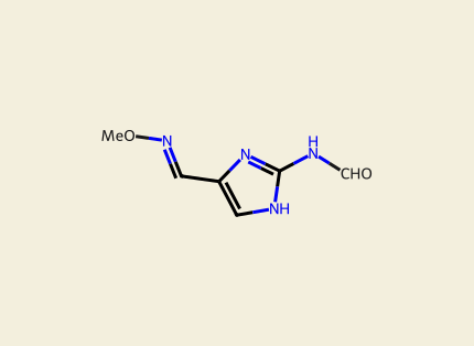 CON=Cc1c[nH]c(NC=O)n1